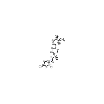 CC(NC(=O)C1CCN(C(=O)/C=C/c2ccc(Cl)cc2Cl)CC1)C(=O)O